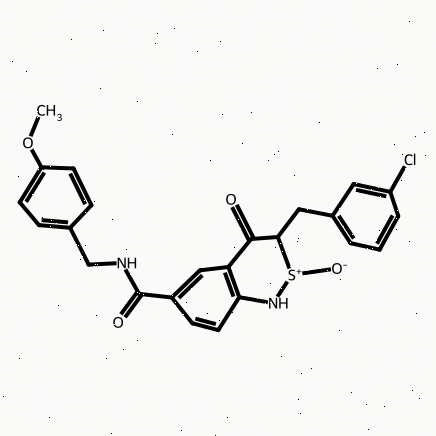 COc1ccc(CNC(=O)c2ccc3c(c2)C(=O)C(Cc2cccc(Cl)c2)[S+]([O-])N3)cc1